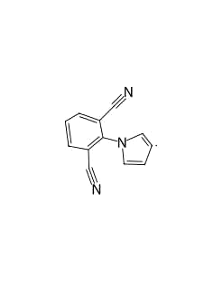 N#Cc1cccc(C#N)c1-n1c[c]cc1